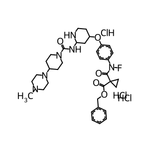 CN1CCN(C2CCN(C(=O)NC3CC(Oc4ccc(N(F)C(=O)C5(C(=O)OCc6ccccc6)CC5)cc4)CCN3)CC2)CC1.Cl.Cl.Cl